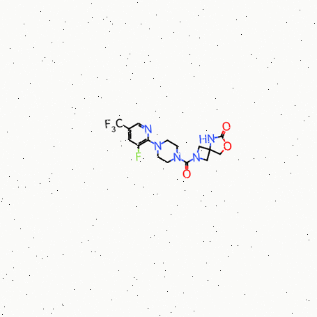 O=C1NC2(CO1)CN(C(=O)N1CCN(c3ncc(C(F)(F)F)cc3F)CC1)C2